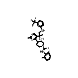 Cc1ncc(C(C)(O)CNc2cccc(C(F)(F)F)n2)c(C2CCN(C(=O)Nc3c(F)cccc3F)CC2)n1